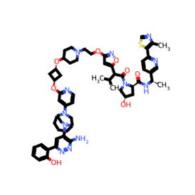 Cc1ncsc1-c1ccc([C@H](C)NC(=O)[C@H]2C[C@H](O)CN2C(=O)C(c2cc(OCCN3CCC(O[C@H]4C[C@H](Oc5cc(N6CC7CCCC6CN7c6cc(-c7ccccc7O)nnc6N)ccn5)C4)CC3)no2)C(C)C)cn1